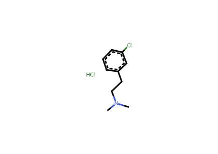 CN(C)CCc1cccc(Cl)c1.Cl